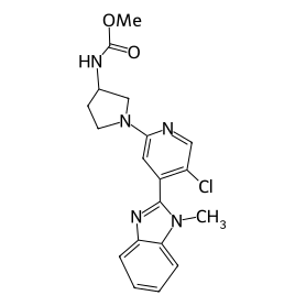 COC(=O)NC1CCN(c2cc(-c3nc4ccccc4n3C)c(Cl)cn2)C1